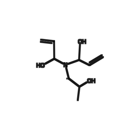 C=CC(O)N([CH]C(C)O)C(O)C=C